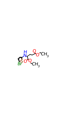 CCOC(=O)CCC(Nc1ccc(Br)s1)C(=O)OCC